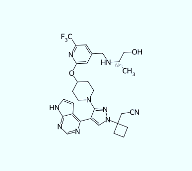 C[C@@H](CO)NCc1cc(OC2CCN(c3nn(C4(CC#N)CCC4)cc3-c3ncnc4[nH]ccc34)CC2)nc(C(F)(F)F)c1